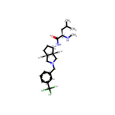 CN[C@H](CC(C)C)C(=O)N[C@H]1CC[C@H]2CN(Cc3cccc(C(F)(F)F)c3)C[C@H]21